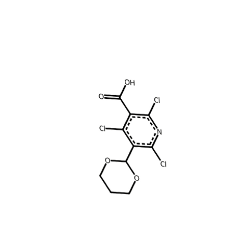 O=C(O)c1c(Cl)nc(Cl)c(C2OCCCO2)c1Cl